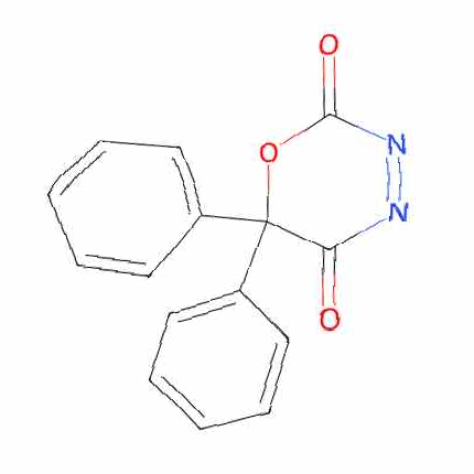 O=C1N=NC(=O)C(c2ccccc2)(c2ccccc2)O1